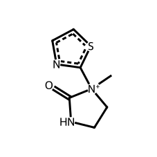 C[N+]1(c2nccs2)CCNC1=O